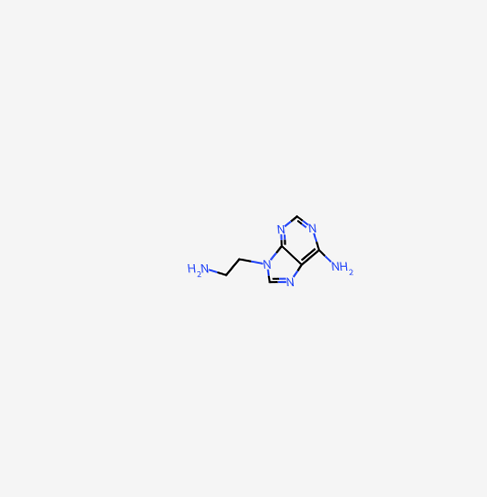 NCCn1cnc2c(N)ncnc21